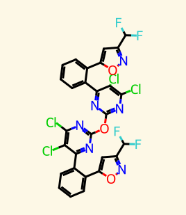 FC(F)c1cc(-c2ccccc2-c2nc(Oc3nc(Cl)c(Cl)c(-c4ccccc4-c4cc(C(F)F)no4)n3)nc(Cl)c2Cl)on1